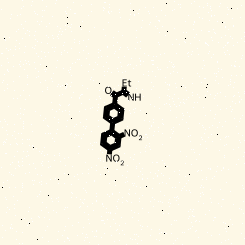 CCC(=N)C(=O)c1ccc(-c2ccc([N+](=O)[O-])cc2[N+](=O)[O-])cc1